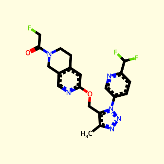 Cc1nnn(-c2ccc(C(F)F)nc2)c1COc1cc2c(cn1)CN(C(=O)CF)CC2